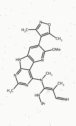 COc1nc2c(cc1-c1c(C)noc1C)[nH]c1nc(C)nc(N(C)/C(NC(C)C)=C(\C)C=N)c12